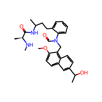 CN[C@@H](C)C(=O)NC(C)CCc1ccccc1N(C=O)Cc1c(OC)ccc2cc(C(C)O)ccc12